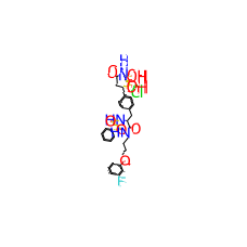 O=C1CC(c2ccc(CC(NS(=O)(=O)c3ccccc3)C(=O)NCCCCOc3cccc(F)c3)cc2Cl)S(O)(O)N1